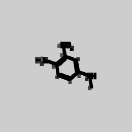 CBc1ccc(N)c([N+](=O)[O-])c1